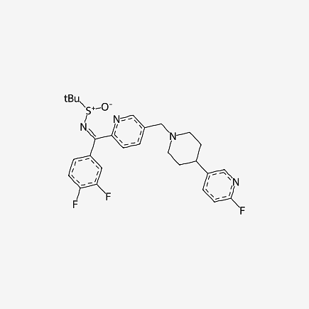 CC(C)(C)[S+]([O-])N=C(c1ccc(F)c(F)c1)c1ccc(CN2CCC(c3ccc(F)nc3)CC2)cn1